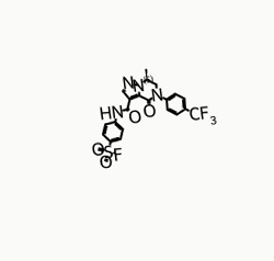 C[C@H]1CN(c2ccc(C(F)(F)F)cc2)C(=O)c2c(C(=O)Nc3ccc(S(=O)(=O)F)cc3)cnn21